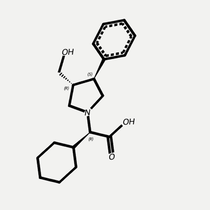 O=C(O)[C@@H](C1CCCCC1)N1C[C@H](CO)[C@@H](c2ccccc2)C1